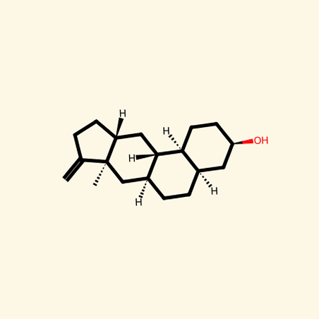 C=C1CC[C@@H]2C[C@H]3[C@@H](CC[C@@H]4C[C@H](O)CC[C@@H]43)C[C@@]12C